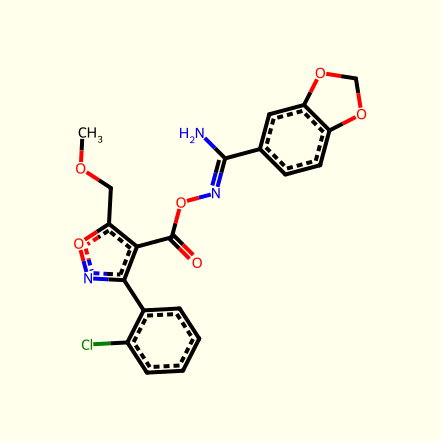 COCc1onc(-c2ccccc2Cl)c1C(=O)O/N=C(\N)c1ccc2c(c1)OCO2